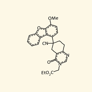 [C-]#[N+]C1(c2ccc(OC)c3oc4ccccc4c23)CCc2ncn(CC(=O)OCC)c(=O)c2C1